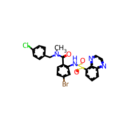 CN(Cc1ccc(Cl)cc1)C(=O)c1ccc(Br)cc1NS(=O)(=O)c1cccc2nccnc12